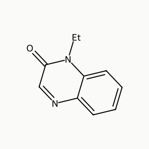 CCn1c(=O)cnc2ccccc21